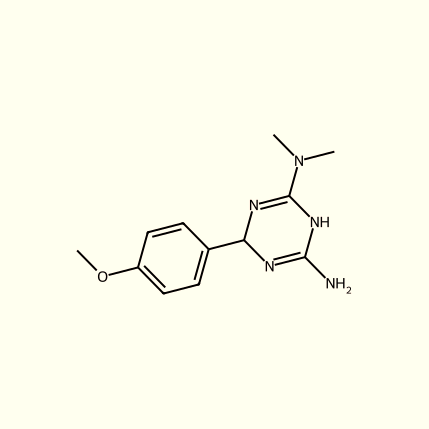 COc1ccc(C2N=C(N)NC(N(C)C)=N2)cc1